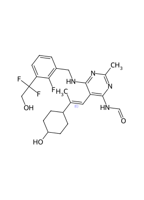 C/C(=C\c1c(NC=O)nc(C)nc1NCc1cccc(C(F)(F)CO)c1F)C1CCC(O)CC1